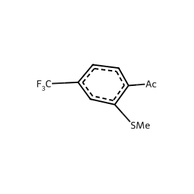 CSc1cc(C(F)(F)F)ccc1C(C)=O